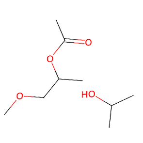 CC(C)O.COCC(C)OC(C)=O